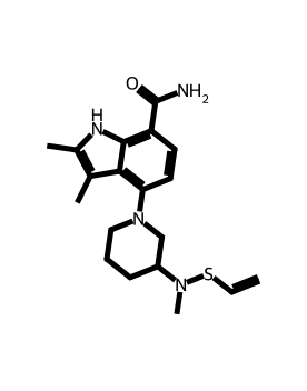 C=CSN(C)C1CCCN(c2ccc(C(N)=O)c3[nH]c(C)c(C)c23)C1